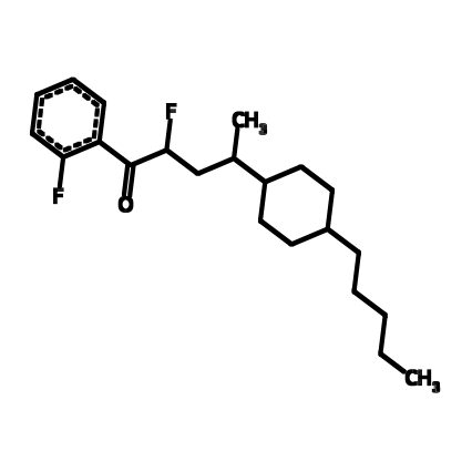 CCCCCC1CCC(C(C)CC(F)C(=O)c2ccccc2F)CC1